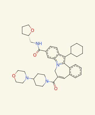 O=C(NC[C@@H]1CCCO1)c1ccc2c(C3CCCCC3)c3n(c2c1)CC(C(=O)N1CCC(N2CCOCC2)CC1)=Cc1ccccc1-3